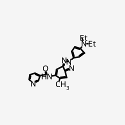 CCN(CC)c1ccc(-n2nc3cc(C)c(NC(=O)c4cccnc4)cc3n2)cc1